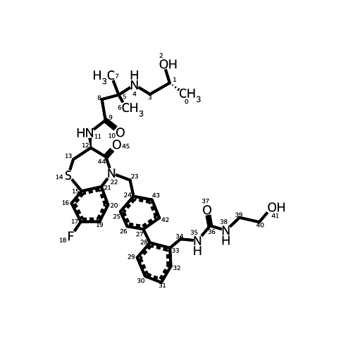 C[C@@H](O)CNC(C)(C)CC(=O)N[C@@H]1CSc2cc(F)ccc2N(Cc2ccc(-c3ccccc3CNC(=O)NCCO)cc2)C1=O